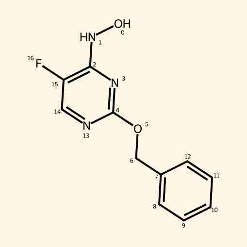 ONc1nc(OCc2ccccc2)ncc1F